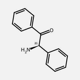 N[C@@H](C(=O)c1ccccc1)c1ccccc1